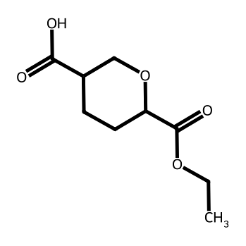 CCOC(=O)C1CCC(C(=O)O)CO1